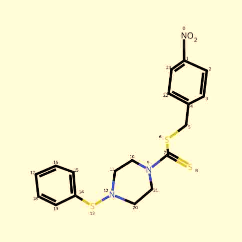 O=[N+]([O-])c1ccc(CSC(=S)N2CCN(Sc3ccccc3)CC2)cc1